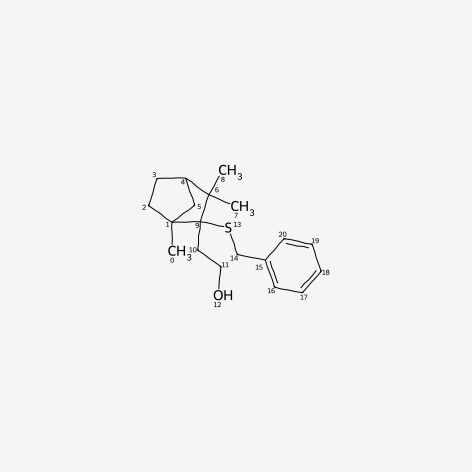 CC12CCC(C1)C(C)(C)C2(CCO)SCc1ccccc1